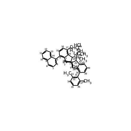 CC1=Cc2c(-c3cccc4ccccc34)ccc(C)c2[CH]1[Zr]([CH3])([CH3])(=[SiH2])[CH]1C(C(C)C)=Cc2c(-c3c(C)cccc3C)cccc21.Cl.Cl